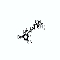 C[Si](C)(C)CCOCn1cnc2c(Br)cc(C#N)cc21